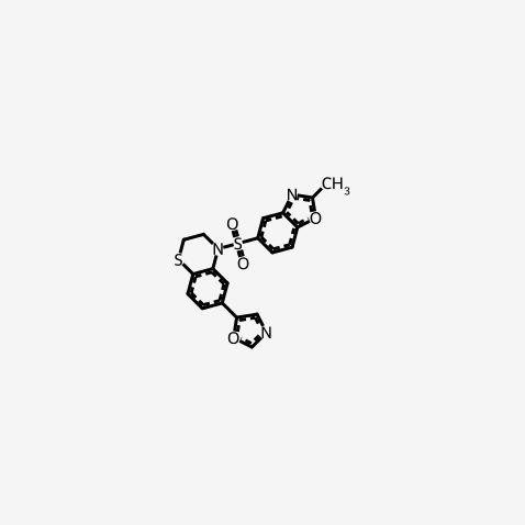 Cc1nc2cc(S(=O)(=O)N3CCSc4ccc(-c5cnco5)cc43)ccc2o1